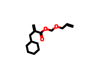 C=CCOCOC(=O)C(=C)CC1CCCCC1